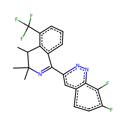 CC1c2c(cccc2C(F)(F)F)C(c2cc3ccc(F)c(F)c3nn2)=NC1(C)C